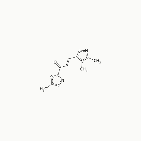 Cc1cnc(C(=O)/C=C/c2cnc(C)n2C)s1